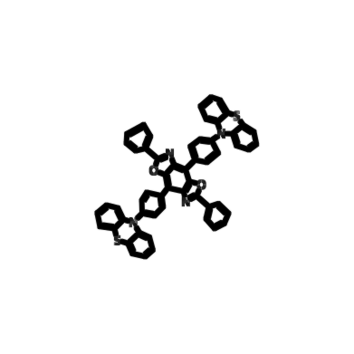 c1ccc(-c2nc3c(-c4ccc(N5c6ccccc6Sc6ccccc65)cc4)c4oc(-c5ccccc5)nc4c(-c4ccc(N5c6ccccc6Sc6ccccc65)cc4)c3o2)cc1